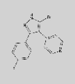 Fc1ccc(-c2n[nH]c(Br)c2-c2ccncc2)cc1